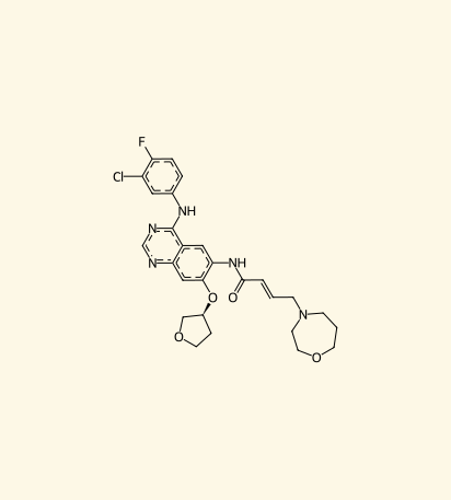 O=C(/C=C/CN1CCCOCC1)Nc1cc2c(Nc3ccc(F)c(Cl)c3)ncnc2cc1O[C@H]1CCOC1